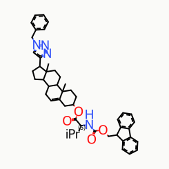 CC(C)[C@H](NC(=O)OCC1c2ccccc2-c2ccccc21)C(=O)OC1CCC2(C)C(=CCC3C2CCC2(C)C(c4cn(Cc5ccccc5)nn4)CCC32)C1